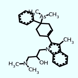 Cc1c(C2=CCC(c3ccccc3)([As](C)C)CC2)n(CC(O)CN(C)C)c2ccccc12